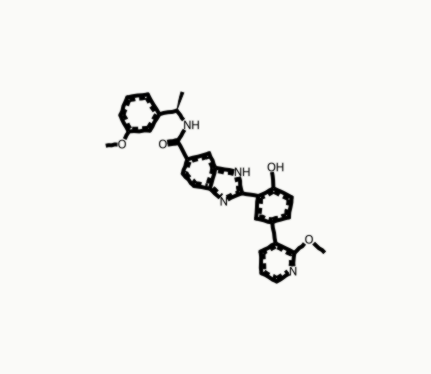 COc1cccc([C@@H](C)NC(=O)c2ccc3nc(-c4cc(-c5cccnc5OC)ccc4O)[nH]c3c2)c1